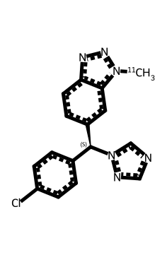 [11CH3]n1nnc2ccc([C@H](c3ccc(Cl)cc3)n3cncn3)cc21